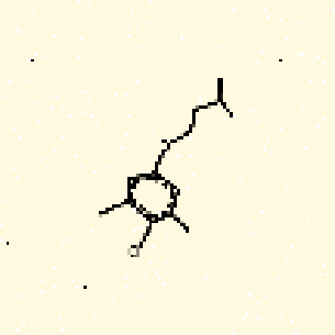 Cc1cc(OCCC(C)C)cc(C)c1Cl